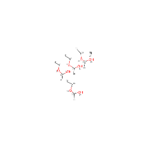 CCOC(C)O.CCOC(C)O.CCOC(C)O.CCOC(C)O.[Ti]